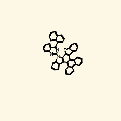 c1ccc2c(-c3nc(-n4c5ccccc5c5c6c7ccccc7c7ccccc7c6c6c7ccccc7sc6c54)nc4ccccc34)cccc2c1